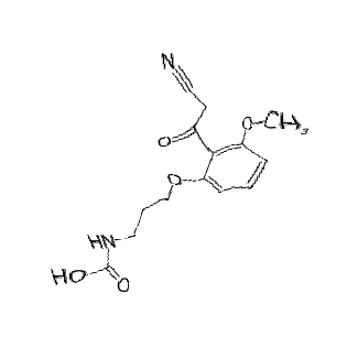 COc1cccc(OCCCNC(=O)O)c1C(=O)CC#N